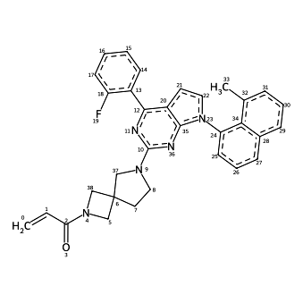 C=CC(=O)N1CC2(CCN(c3nc(-c4ccccc4F)c4ccn(-c5cccc6cccc(C)c56)c4n3)C2)C1